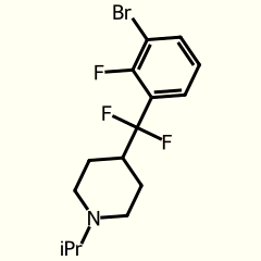 CC(C)N1CCC(C(F)(F)c2cccc(Br)c2F)CC1